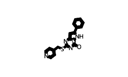 O=c1nc(SCc2ccncc2)nc2cc(-c3ccccc3)[nH]n12